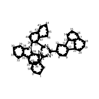 c1ccc(-c2nc(-c3ccc4c(c3)-c3cccc5cccc-4c35)nc(-c3c(-n4c5ccccc5c5ccccc54)ccc4ccccc34)n2)cc1